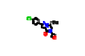 CCCCC1CN(C2COC2)C(=O)c2cc(-c3ccc(Cl)cc3)nn21